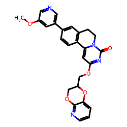 COc1cncc(-c2ccc3c(c2)CCn2c-3cc(OCC3COc4ncccc4O3)nc2=O)c1